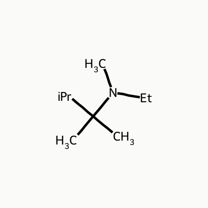 CCN(C)C(C)(C)C(C)C